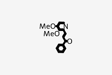 COc1ccnc(C=CC(=O)c2ccccc2)c1OC